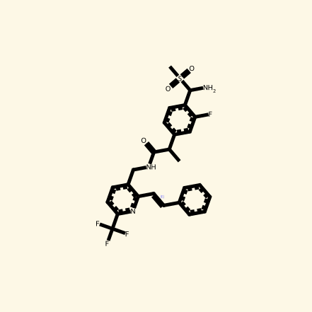 CC(C(=O)NCc1ccc(C(F)(F)F)nc1/C=C/c1ccccc1)c1ccc(C(N)S(C)(=O)=O)c(F)c1